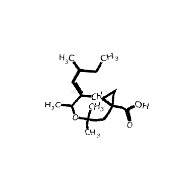 CCC(C)/C=C(\C)C(C)OC(C)(C)CC1(C(=O)O)CC1